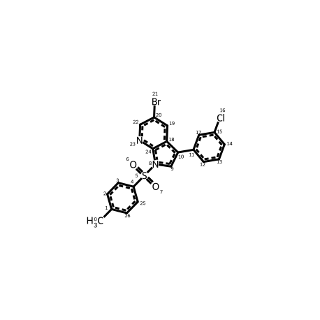 Cc1ccc(S(=O)(=O)n2cc(-c3cccc(Cl)c3)c3cc(Br)cnc32)cc1